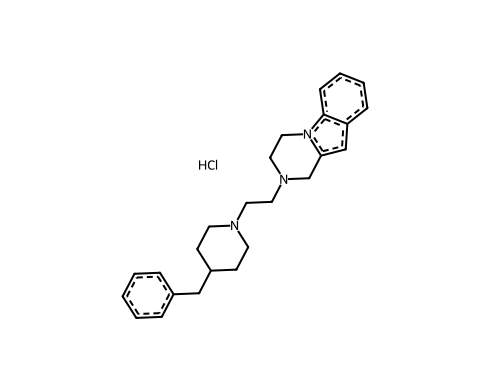 Cl.c1ccc(CC2CCN(CCN3CCn4c(cc5ccccc54)C3)CC2)cc1